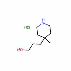 CC1(CCCO)CCNCC1.Cl